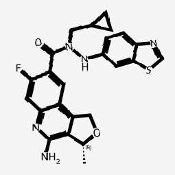 C[C@H]1OCc2c1c(N)nc1cc(F)c(C(=O)N(CC3CC3)Nc3ccc4ncsc4c3)cc21